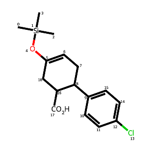 C[Si](C)(C)OC1=CCC(c2ccc(Cl)cc2)C(C(=O)O)C1